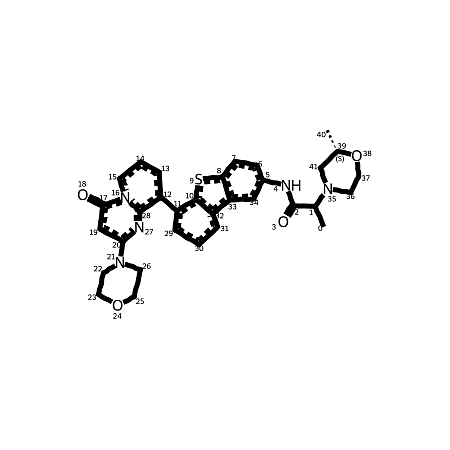 CC(C(=O)Nc1ccc2sc3c(-c4cccn5c(=O)cc(N6CCOCC6)nc45)cccc3c2c1)N1CCO[C@@H](C)C1